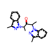 Cc1nn(C(C)C(=O)C(C)n2nc(C)c3ccccc32)c2ccccc12